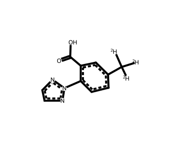 [2H]C([2H])([2H])c1ccc(-n2nccn2)c(C(=O)O)c1